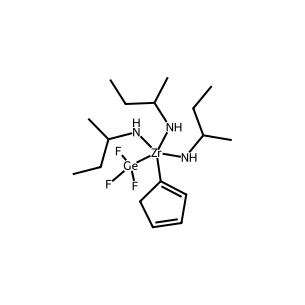 CCC(C)[NH][Zr]([NH]C(C)CC)([NH]C(C)CC)([C]1=CC=CC1)[Ge]([F])([F])[F]